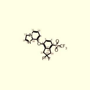 O=S(=O)(c1ccc(OC2=CC=CN3CC=NC23)c2c1CC(F)(F)C2)C(F)(F)F